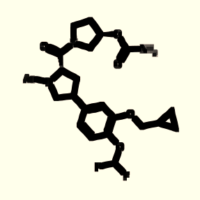 CC(=O)N1CC(c2ccc(OC(F)F)c(OCC3CC3)c2)C[C@H]1C(=O)N1CC[C@@H](OC(N)=O)C1